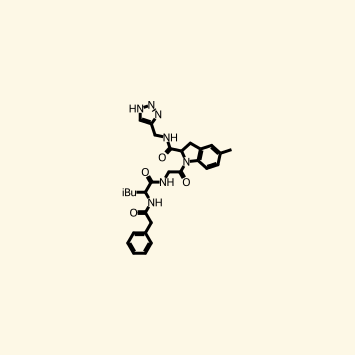 CCC(C)C(NC(=O)Cc1ccccc1)C(=O)NCC(=O)N1c2ccc(C)cc2CC1C(=O)NCc1c[nH]nn1